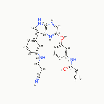 C=CC(=O)Nc1cccc(Oc2cnc3[nH]cc(-c4cccc(NCCC#N)c4)c3n2)c1